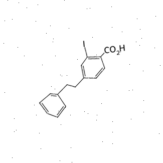 O=C(O)c1ccc(CCc2ccccc2)cc1I